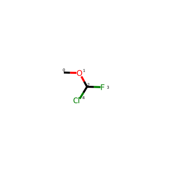 CO[C](F)Cl